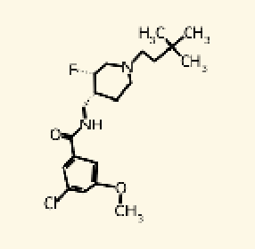 COc1cc(Cl)cc(C(=O)NC[C@H]2CCN(CCC(C)(C)C)C[C@H]2F)c1